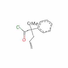 C=CCC(OC)(C(=O)Cl)c1ccccc1